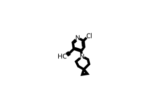 C#Cc1cnc(Cl)cc1N1CCC2(CC1)CC2